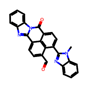 Cn1c(-c2ccc3c(=O)n4c5ccccc5nc4c4ccc(C=O)c2c34)nc2ccccc21